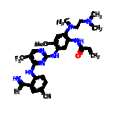 C=CC(=O)Nc1cc(Nc2ncc(C(F)(F)F)c(Nc3ccc(C#N)cc3C(=N)CC)n2)c(OC)cc1N(C)CCN(C)C